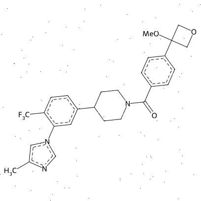 COC1(c2ccc(C(=O)N3CCC(c4ccc(C(F)(F)F)c(-n5cnc(C)c5)c4)CC3)cc2)COC1